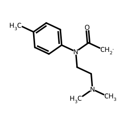 [CH2]C(=O)N(CCN(C)C)c1ccc(C)cc1